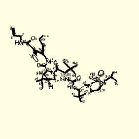 C=CCNC(=O)C(=O)C(CCC)NC(=O)[C@@H]1[C@@H]2[C@H](CN1C(=O)[C@@H](NC(=O)N[C@H](CN1CCN(C(C)C)S1(=O)=O)C(C)(C)C)C(C)(C)C)C2(C)C